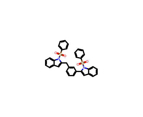 O=S(=O)(c1ccccc1)n1c(Cc2cccc(-c3cc4ccccc4n3S(=O)(=O)c3ccccc3)c2)cc2ccccc21